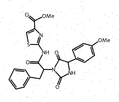 COC(=O)c1csc(NC(=O)C(Cc2ccccc2)N2C(=O)NC(c3ccc(OC)cc3)C2=O)n1